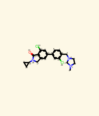 CN1CCN(Cc2ccc(-c3cc(Cl)c4c(c3)CN(C3CC3)C4=O)cc2Cl)C1